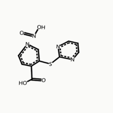 O=C(O)c1ccncc1Sc1ncccn1.O=NO